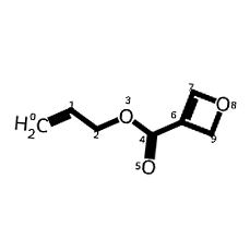 C=CCOC(=O)C1=COC1